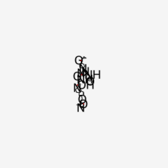 Cc1ncoc1COc1ccc2c(c1)CCN(C[C@@H](O)CNC(=O)c1cc(NC3COC3)nc(N3CCC(C(=O)C4CC4)CC3)n1)C2